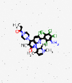 C=CC(=O)N1CCN(c2c(C#N)c(=O)n(C3=C(C)C=CN(C)C3C(C)C)c3nc(-c4c(Cl)c(N)c(Cl)c(Cl)c4Cl)c(Cl)cc23)CC1